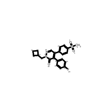 CS(=O)(=O)c1ccc(-c2cnn(CC3CCC3)c(=O)c2-c2ccc(F)cc2)cc1